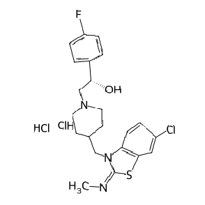 C/N=c1/sc2cc(Cl)ccc2n1CC1CCN(C[C@@H](O)c2ccc(F)cc2)CC1.Cl.Cl